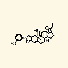 CCC(=O)[C@@]1(C)[C@H](C)C[C@H]2[C@@H]3CCC4=Cc5nn(-c6cccc(OC)c6)cc5C[C@]4(C)[C@H]3[C@@H](O)C[C@@]21C